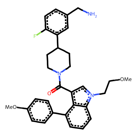 COCCn1cc(C(=O)N2CCC(c3cc(CN)ccc3F)CC2)c2c(-c3ccc(OC)cc3)cccc21